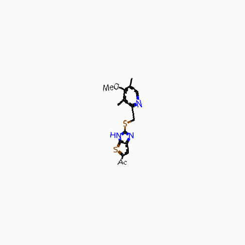 COc1c(C)cnc(CSc2nc3cc(C(C)=O)sc3[nH]2)c1C